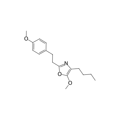 CCCCc1nc(CCc2ccc(OC)cc2)oc1OC